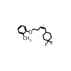 Cc1ccccc1OCC/C=C\C1CCC(F)(F)CC1